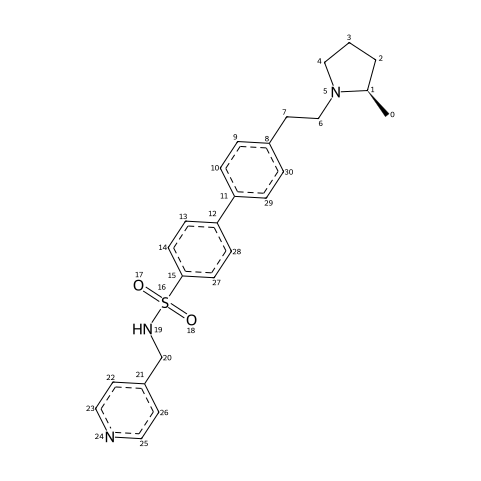 C[C@@H]1CCCN1CCc1ccc(-c2ccc(S(=O)(=O)NCc3ccncc3)cc2)cc1